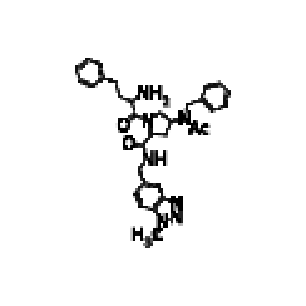 CC(=O)N(Cc1ccccc1)C1CC(C(=O)NCc2ccc3c(c2)nnn3C)N(C(=O)C(N)CCc2ccccc2)C1